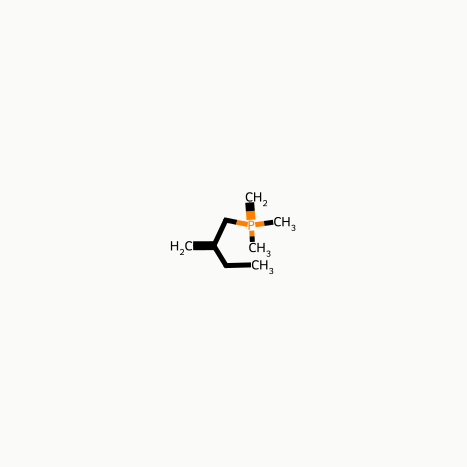 C=C(CC)CP(=C)(C)C